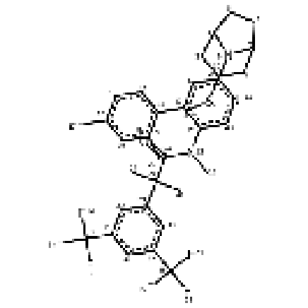 CSC1CC2CCC(C1)N2c1cc(-c2ccc(F)cc2C)c(N(C)C(=O)C(C)(C)c2cc(C(F)(F)F)cc(C(F)(F)F)c2)cn1